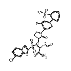 NC(=O)C(OC=O)N([C@H]1CCN(c2ccc(-c3ccccc3S(N)(=O)=O)cc2F)C1=O)S(=O)(=O)c1cc2ccc(Cl)cc2s1